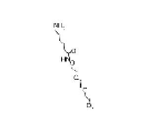 COCCOCCOCCONC(=O)CCCCCN